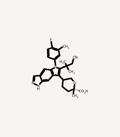 Cc1cc(-n2c(C(C)(C)CC#N)c(C3CC[C@@](C)(C(=O)O)OC3)c3cc4[nH]ncc4cc32)ccc1F